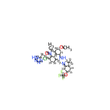 COc1cc(NC(CN2CC3(CC3)c3ccc(OC(F)(F)F)cc32)c2ccc(Cl)cc2)cc(C(C)=NOCCc2nnn[nH]2)c1